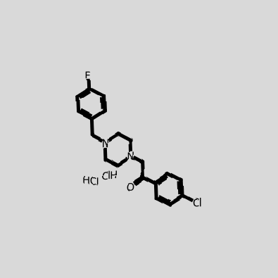 Cl.Cl.O=C(CN1CCN(Cc2ccc(F)cc2)CC1)c1ccc(Cl)cc1